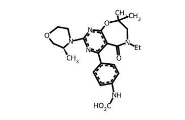 CCN1CC(C)(C)Oc2nc(N3CCOC[C@@H]3C)nc(-c3ccc(NC(=O)O)cc3)c2C1=O